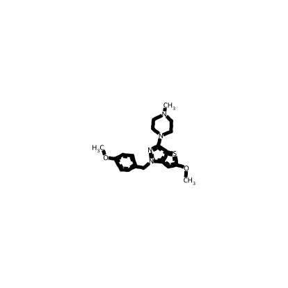 COc1ccc(Cn2nc(N3CCN(C)CC3)c3sc(OC)cc32)cc1